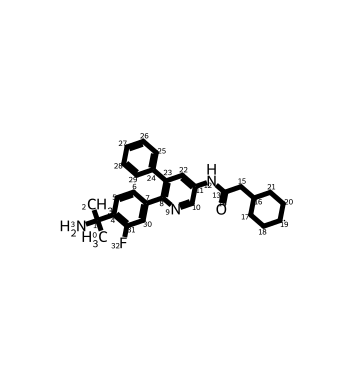 CC(C)(N)c1ccc(-c2ncc(NC(=O)CC3CC[CH]CC3)cc2-c2ccccc2)cc1F